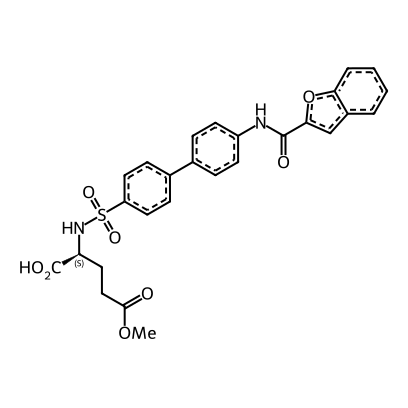 COC(=O)CC[C@H](NS(=O)(=O)c1ccc(-c2ccc(NC(=O)c3cc4ccccc4o3)cc2)cc1)C(=O)O